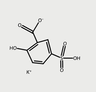 O=C([O-])c1cc(S(=O)(=O)O)ccc1O.[K+]